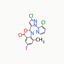 Cc1cc(I)cc2c(=O)oc(-c3cc(Cl)nn3-c3ncccc3Cl)nc12